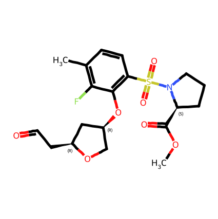 COC(=O)[C@@H]1CCCN1S(=O)(=O)c1ccc(C)c(F)c1O[C@H]1CO[C@@H](CC=O)C1